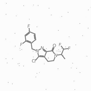 CC(C(F)F)N1CCc2c(nn(Cc3ccc(F)cc3F)c2Cl)C1=O